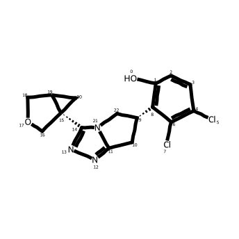 Oc1ccc(Cl)c(Cl)c1[C@@H]1Cc2nnc([C@]34COCC3C4)n2C1